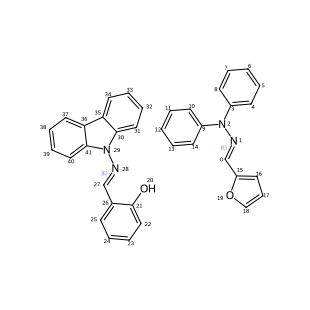 C(=N\N(c1ccccc1)c1ccccc1)/c1ccco1.Oc1ccccc1/C=N/n1c2ccccc2c2ccccc21